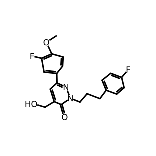 COc1ccc(-c2cc(CO)c(=O)n(CCCc3ccc(F)cc3)n2)cc1F